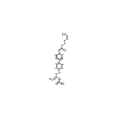 CC/C=C\CCCC(=O)Oc1cnc(-c2ccc(CCC(C)OC(=O)CC)cc2)nc1